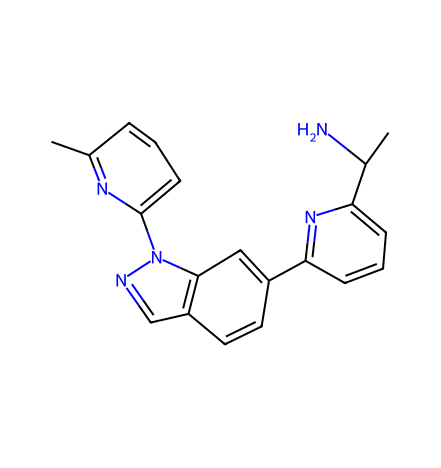 Cc1cccc(-n2ncc3ccc(-c4cccc(C(C)N)n4)cc32)n1